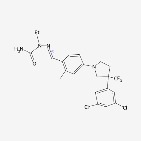 CCN(/N=C/c1ccc(N2CCC(c3cc(Cl)cc(Cl)c3)(C(F)(F)F)C2)cc1C)C(N)=O